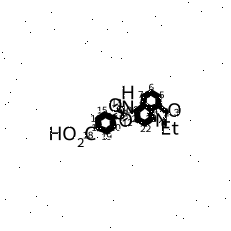 CCN1C(=O)c2cccc3c(NS(=O)(=O)c4ccc(C(=O)O)cc4)ccc1c23